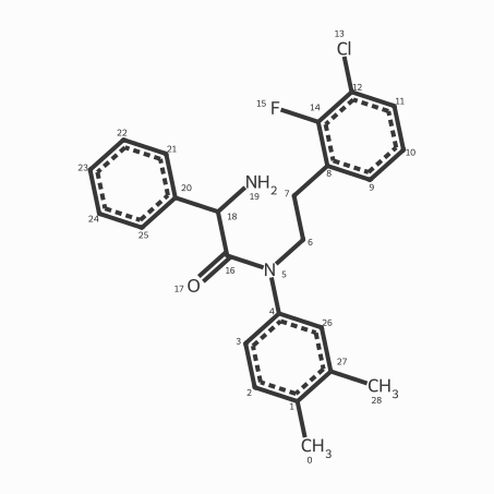 Cc1ccc(N(CCc2cccc(Cl)c2F)C(=O)C(N)c2ccccc2)cc1C